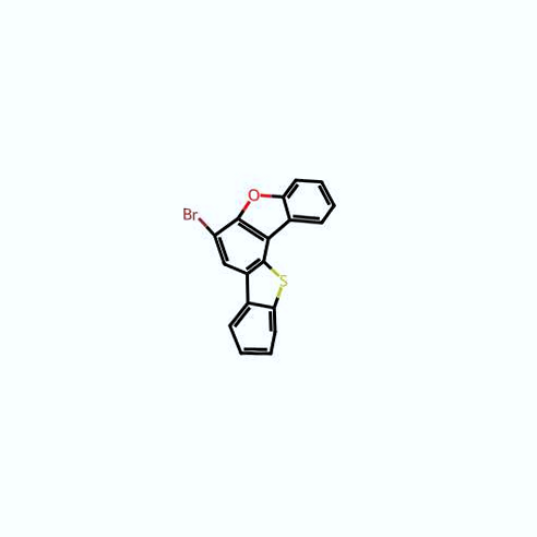 Brc1cc2c3ccccc3sc2c2c1oc1ccccc12